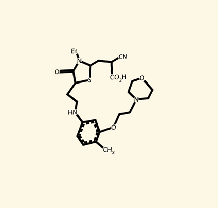 CCN1C(=O)C(CCNc2ccc(C)c(OCCN3CCOCC3)c2)SC1CC(C#N)C(=O)O